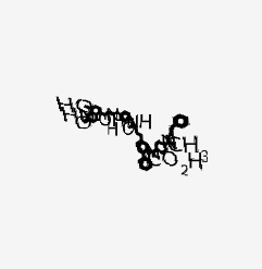 CN(CCCc1ccccc1)C1CCC(N(C(=O)O)c2cc(CCCC(=O)Nc3ccc(CNC[C@@H](O)c4ccc(O)c5[nH]c(=O)ccc45)cc3)ccc2-c2ccccc2)CC1